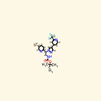 CC(C)(C)OC(=O)NCC(c1ccc(Br)cn1)n1cc(-c2ccnc(C(F)(F)F)c2)cn1